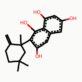 C=C1CCC(C)(C)CC1(C)c1c(O)cc2cc(O)cc(O)c2c1O